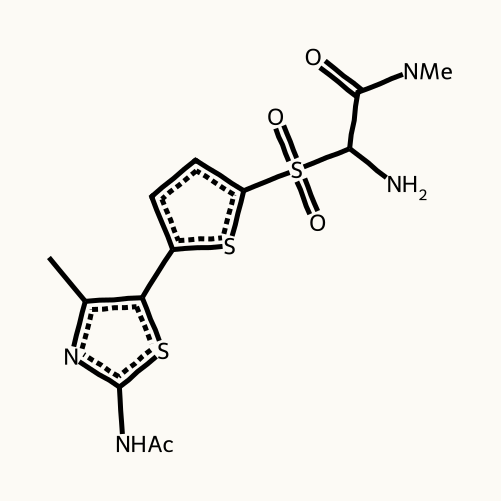 CNC(=O)C(N)S(=O)(=O)c1ccc(-c2sc(NC(C)=O)nc2C)s1